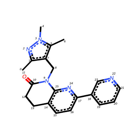 Cc1nn(C)c(C)c1CN1C(=O)CCc2ccc(-c3cccnc3)nc21